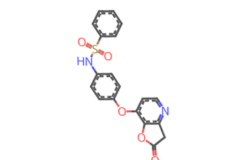 O=C1Cc2nccc(Oc3ccc(NS(=O)(=O)c4ccccc4)cc3)c2O1